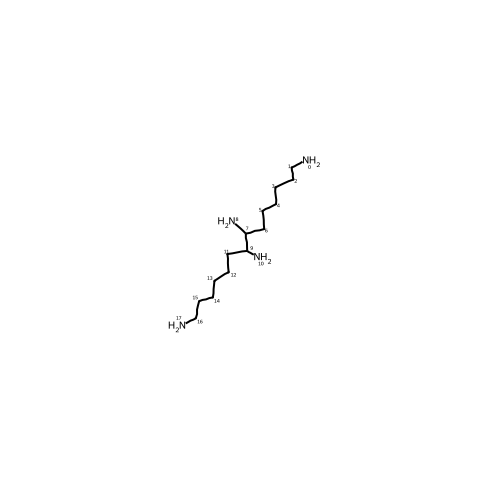 NCCCCCCC(N)C(N)CCCCCCN